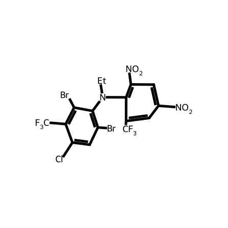 CCN(c1c([N+](=O)[O-])cc([N+](=O)[O-])cc1C(F)(F)F)c1c(Br)cc(Cl)c(C(F)(F)F)c1Br